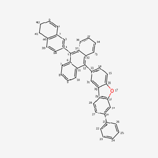 C1=Cc2cc(-c3c4ccccc4c(-c4ccc5oc6cc(-c7ccccc7)ccc6c5c4)c4ccccc34)ccc2CC1